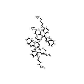 CCCCOc1cccc(C(c2nc3ccccc3s2)N(OC(=O)C(=O)ON(C2CCN(C)CC2)C(c2cccc(OCCCC)c2)c2nc3ccccc3s2)C2CCN(C)CC2)c1